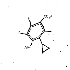 COc1c(F)c(F)c(C(=O)O)c(C)c1C1CC1